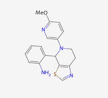 COc1ccc(N2CCc3ncsc3C2c2ccccc2N)cn1